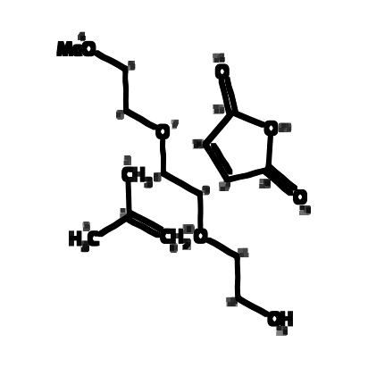 C=C(C)C.COCCOCCOCCO.O=C1C=CC(=O)O1